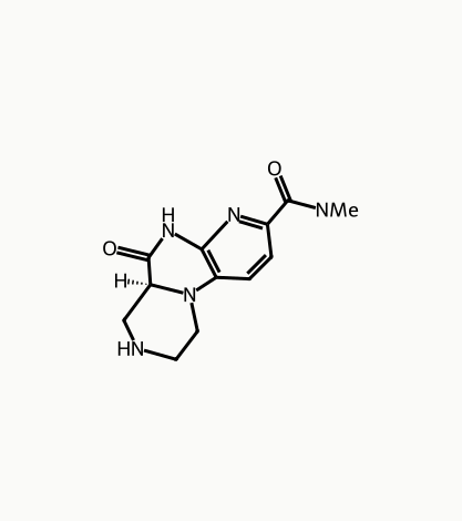 CNC(=O)c1ccc2c(n1)NC(=O)[C@@H]1CNCCN21